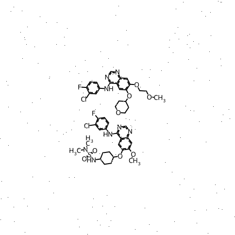 COCCOc1cc2ncnc(Nc3ccc(F)c(Cl)c3)c2cc1OC1CCOCC1.COc1cc2ncnc(Nc3ccc(F)c(Cl)c3)c2cc1OC1CCC(NS(=O)(=O)N(C)C)CC1